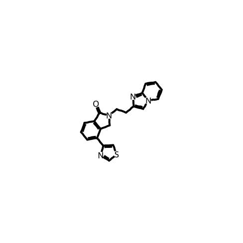 O=C1c2cccc(-c3cscn3)c2CN1CCc1cn2ccccc2n1